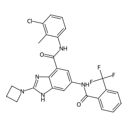 Cc1c(Cl)cccc1NC(=O)c1cc(NC(=O)c2ccccc2C(F)(F)F)cc2[nH]c(N3CCC3)nc12